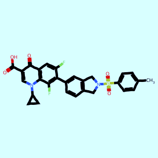 Cc1ccc(S(=O)(=O)N2Cc3ccc(-c4c(F)cc5c(=O)c(C(=O)O)cn(C6CC6)c5c4F)cc3C2)cc1